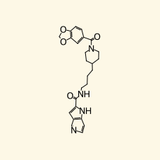 O=C(NCCCCC1CCN(C(=O)c2ccc3c(c2)OCO3)CC1)c1cc2cnccc2[nH]1